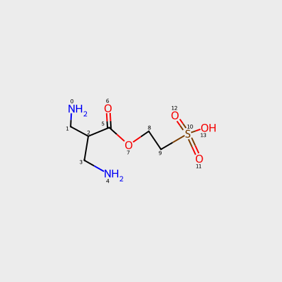 NCC(CN)C(=O)OCCS(=O)(=O)O